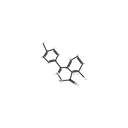 Cc1ccc(-c2n[nH]c(=O)c3c(I)cccc23)cc1